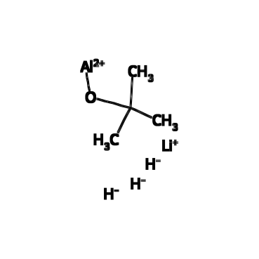 CC(C)(C)[O][Al+2].[H-].[H-].[H-].[Li+]